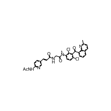 CC(=O)Nc1ccc(C=CC(=O)NCC(=O)N(C)c2ccc(Cl)c(C(=O)c3cccc4ccc(C)nc34)c2Cl)cn1